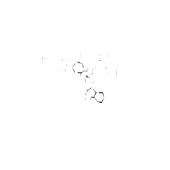 COC(=O)c1ccc2c(c1)nc(Cc1cn(C)c3ccccc13)n2C1C[C@H](C)CC(C)(C)C1